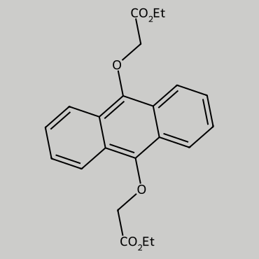 CCOC(=O)COc1c2ccccc2c(OCC(=O)OCC)c2ccccc12